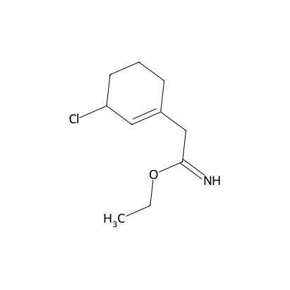 CCOC(=N)CC1=CC(Cl)CCC1